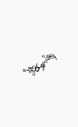 Cn1nc(Br)nc1Nc1ccc(-c2cn(COCC[Si](C)(C)C)nc2F)c(F)c1